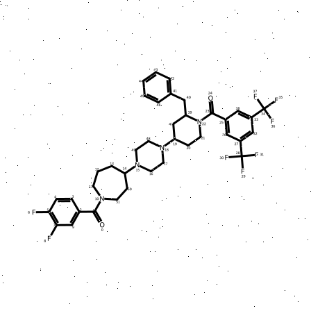 O=C(c1ccc(F)c(F)c1)N1CCCC(N2CCN(C3CCN(C(=O)c4cc(C(F)(F)F)cc(C(F)(F)F)c4)C(Cc4ccccc4)C3)CC2)CC1